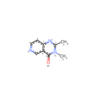 Cc1nc2ccncc2c(=O)n1C